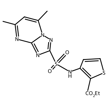 CCOC(=O)c1sccc1NS(=O)(=O)c1nc2nc(C)cc(C)n2n1